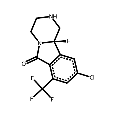 O=C1c2c(cc(Cl)cc2C(F)(F)F)[C@H]2CNCCN12